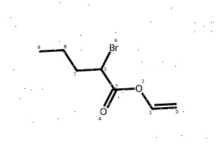 C=COC(=O)C(Br)CCC